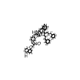 O=N[C@@H](COc1cccc2c1C=CCN2)CN1CCN(CC(=O)NC(Cc2cccnc2)C(=O)NC(CCCc2ccccc2)CCCc2ccccc2)CC1